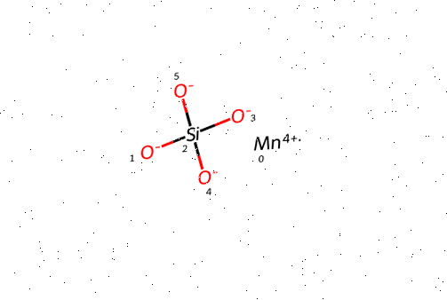 [Mn+4].[O-][Si]([O-])([O-])[O-]